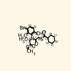 COC(=O)[C@H](C)N(C(=O)CSC(=O)C1CCCCC1)c1c(C)ccc(Br)c1C